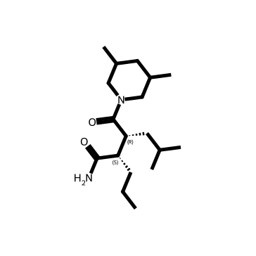 CCC[C@H](C(N)=O)[C@@H](CC(C)C)C(=O)N1CC(C)CC(C)C1